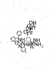 Cc1ccc2nc(C(=O)NC(c3ccccc3)c3ccccc3)nc(NC3CCCCC3NC(=N)N)c2c1.O=C(O)C(F)(F)F.O=C(O)C(F)(F)F